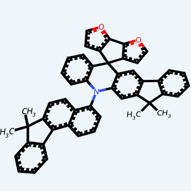 CC1(C)c2ccccc2-c2cc3c(cc21)N(c1cccc2c4c(ccc12)C(C)(C)c1ccccc1-4)c1ccccc1C31c2ccoc2-c2occc21